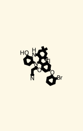 CC1(C)CC(=O)C2=C(C1)Nc1c(O)cccc1N(C(=O)CC#N)C2c1ccc(Oc2ccccc2Br)cc1Cl